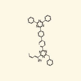 C=C(/C=C\C(=C/C)c1ccc(-c2nc(-c3ccccc3)nc(-c3ccccc3)n2)cc1)c1nc(Cc2ccccc2)nc(/C(=C/C=C\C)C(C)C)n1